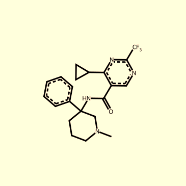 CN1CCCC(NC(=O)c2cnc(C(F)(F)F)nc2C2CC2)(c2ccccc2)C1